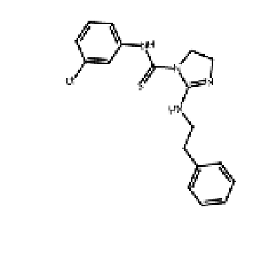 S=C(Nc1cccc(Cl)c1)N1CCN=C1NCCc1ccccc1